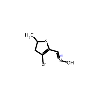 CC1CC(Br)=C(/C=N/O)S1